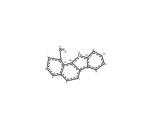 Bc1cccc2ccc3c4ccccc4oc3c12